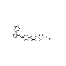 CCCC1CCC(C2CCC(C3CCC(CSc4nnnn4-c4ccccc4)CC3)CC2)CC1